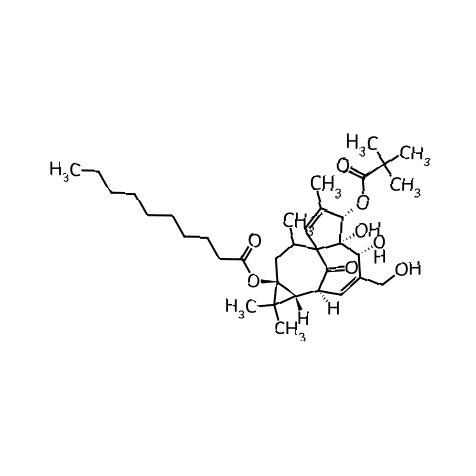 CCCCCCCCCC(=O)O[C@@]12CC(C)C34C=C(C)[C@H](OC(=O)C(C)(C)C)[C@@]3(O)[C@H](O)C(CO)=C[C@H](C4=O)[C@@H]1C2(C)C